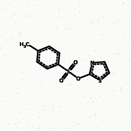 Cc1ccc(S(=O)(=O)Oc2nccs2)cc1